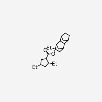 CCC1CC(CC)C(C(=O)OC2(CC)CC3CC2C2C4CCC(C4)C32)C1